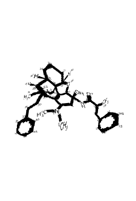 CN(C)C1=CC(O)(NC(=O)C(=Cc2ccccc2)C(F)(F)F)C2O[C@H]3CCC[C@H]4[C@H]5CC1=C2[C@@]34CC[N+]5(C)CCc1ccccc1